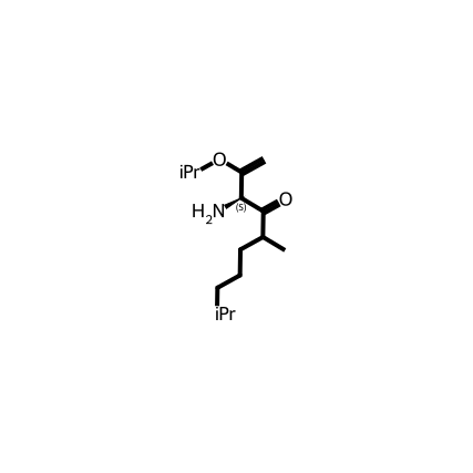 C=C(OC(C)C)[C@H](N)C(=O)C(C)CCCC(C)C